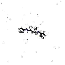 O=C(/C=C/c1ccsc1)C[S+]([O-])/C=C/c1ccsc1